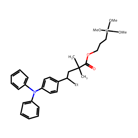 CCC(CC(C)(C)C(=O)OCCC[Si](OC)(OC)OC)c1ccc(N(c2ccccc2)c2ccccc2)cc1